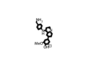 COc1cc(-c2ccc3nc[c]c(Nc4ccc(CN)cc4)c3c2)cc(Cl)c1O